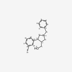 OCC1CN(Cc2ccccc2)CC1c1cccc(F)c1